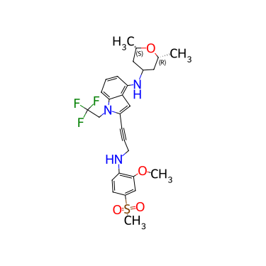 COc1cc(S(C)(=O)=O)ccc1NCC#Cc1cc2c(NC3C[C@@H](C)O[C@@H](C)C3)cccc2n1CC(F)(F)F